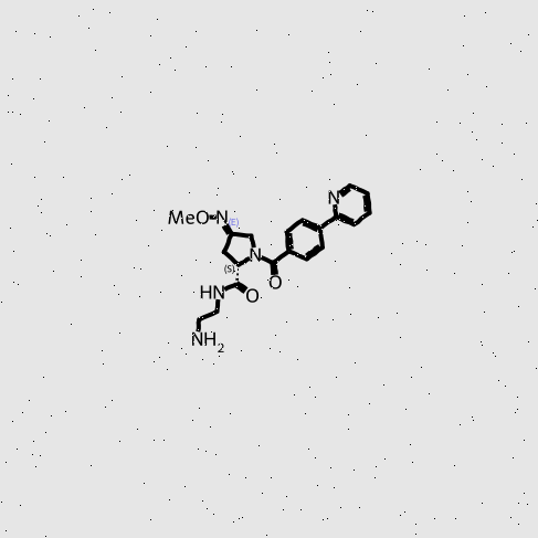 CO/N=C1\C[C@@H](C(=O)NCCN)N(C(=O)c2ccc(-c3ccccn3)cc2)C1